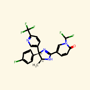 C[C@@H]1NC(c2ccc(=O)n(C(F)F)c2)=N[C@@]1(c1ccc(F)cc1)c1ccc(C(F)(F)F)nc1